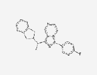 [CH2]C(c1nc(-c2ccc(F)cc2)n2ccncc12)C1Cc2ccccc2C1